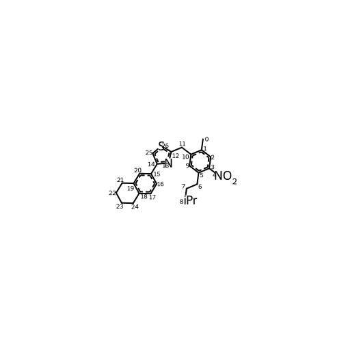 Cc1cc([N+](=O)[O-])c(CCC(C)C)cc1Cc1nc(-c2ccc3c(c2)CCCC3)cs1